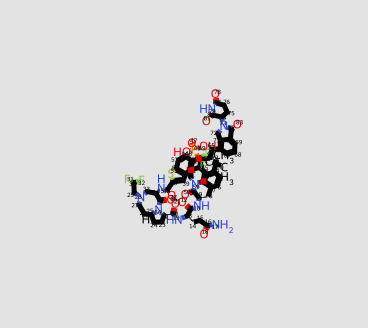 CC(C)(C)c1ccc(C[C@H](NC(=O)[C@H](CCC(N)=O)NC(=O)[C@@H]2CC[C@@H]3CCN(CC(F)F)C[C@H](NC(=O)c4cc5cc(C(F)(F)P(=O)(O)O)ccc5s4)C(=O)N32)C(=O)N2CCC(CCCc3cccc4c3CN(C3CCC(=O)NC3=O)C4=O)CC2)cc1